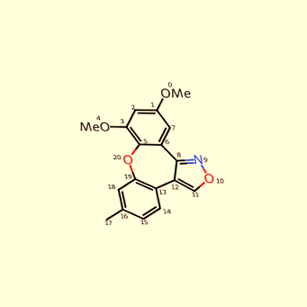 COc1cc(OC)c2c(c1)-c1nocc1-c1ccc(C)cc1O2